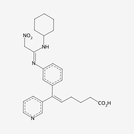 O=C(O)CCC/C=C(/c1cccnc1)c1cccc(N=C(C[N+](=O)[O-])NC2CCCCC2)c1